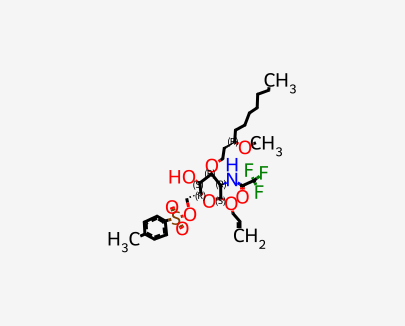 C=CCO[C@H]1O[C@H](COS(=O)(=O)c2ccc(C)cc2)[C@@H](O)[C@H](OCC[C@@H](CCCCCCC)OC)[C@H]1NC(=O)C(F)(F)F